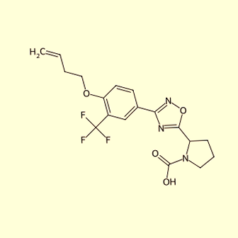 C=CCCOc1ccc(-c2noc(C3CCCN3C(=O)O)n2)cc1C(F)(F)F